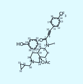 CC(=O)O[C@]12CC[C@@H](N(C)C(=O)C#Cc3ccc(C(F)(F)F)cc3)C[C@]1(c1cccc(O)c1)CCN(CC1CC1)C2